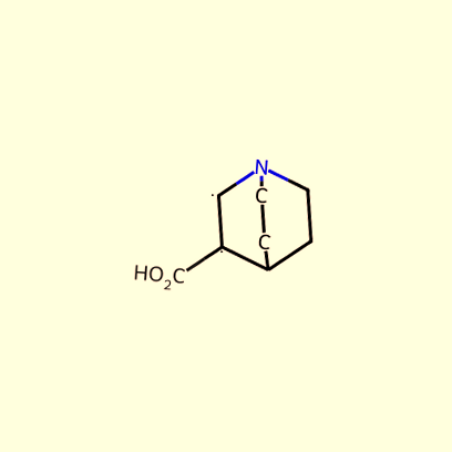 O=C(O)[C]1[CH]N2CCC1CC2